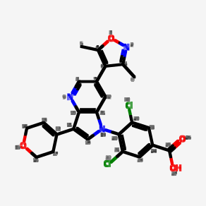 Cc1noc(C)c1-c1cnc2c(C3=CCOCC3)cn(-c3c(Cl)cc(C(=O)O)cc3Cl)c2c1